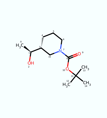 C[C@H](O)[C@@H]1CCCN(C(=O)OC(C)(C)C)C1